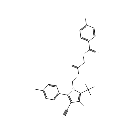 N#Cc1c(Br)c(C(F)(F)F)n(COC(=O)CNC(=O)c2ccc(Cl)cc2)c1-c1ccc(Cl)cc1